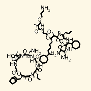 CCC[C@@H](C(=O)N[C@H](C(=O)N[C@@H](CN)C(N)=O)C1CCCCCC1)N(C)C(=O)[C@H](C)[C@@H](CCCCC(C)C1CCCC([C@@H]2NC(=O)[C@H](CCC)N(C)C(=O)[C@H](C)[C@@H](CC3CC4CCC3C4)OC(=O)CNC(=O)[C@H]([C@H](C)O)NC(=O)[C@H](CN)NC2=O)CC1)OC(=O)CNC(=O)[C@@H](C)COCCCN